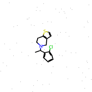 CC(c1ccccc1Cl)N1CCc2sccc2C1